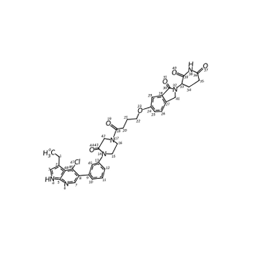 CCc1c[nH]c2ncc(-c3cccc(N4CCN(C(=O)CCCOc5ccc6c(c5)C(=O)N(C5CCC(=O)NC5=O)C6)CC4=O)c3)c(Cl)c12